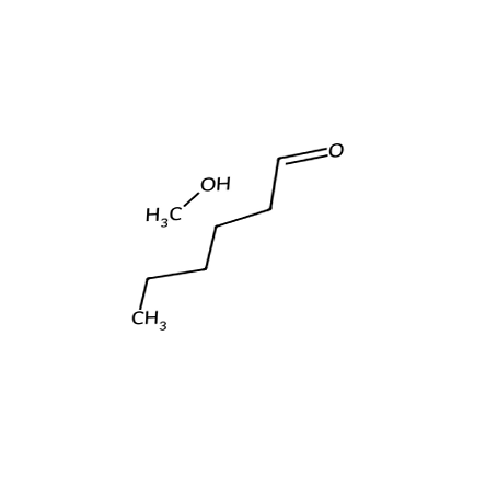 CCCCCC=O.CO